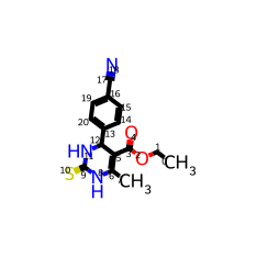 CCOC(=O)C1=C(C)NC(=S)NC1c1ccc(C#N)cc1